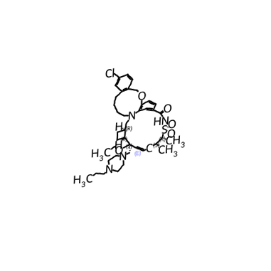 CCCN1CCN(C[C@@]2(OCC)/C=C/C[C@H](C)[C@@H](C)S(=O)(=O)NC(=O)c3ccc4c(c3)N(CCCCc3cc(Cl)ccc3CO4)C[C@@H]3CC[C@H]32)CC1